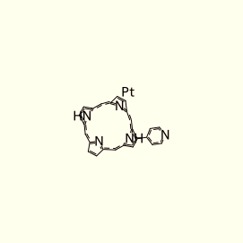 C1=Cc2cc3cc(-c4ccncc4)c(cc4nc(cc5ccc(cc1n2)[nH]5)C=C4)[nH]3.[Pt]